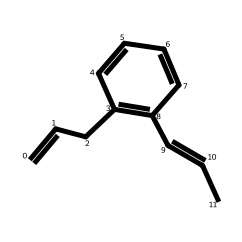 C=CCc1[c]cccc1C=CC